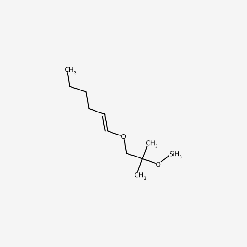 CCCC/C=C/OCC(C)(C)O[SiH3]